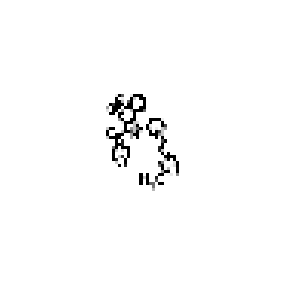 CC1CN(CCN2CCC[C@H](n3nc(C(=O)N4CCOCC4)c4c3-c3ccccc3S(=O)(=O)C4)C2)CCO1